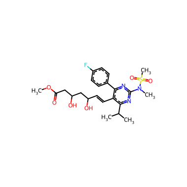 COC(=O)CC(O)CC(O)C=Cc1c(-c2ccc(F)cc2)nc(N(C)S(C)(=O)=O)nc1C(C)C